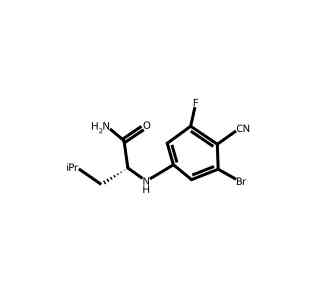 CC(C)C[C@@H](Nc1cc(F)c(C#N)c(Br)c1)C(N)=O